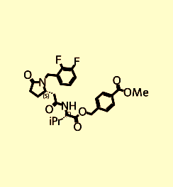 COC(=O)c1ccc(COC(=O)[C@@H](NC(=O)C[C@@H]2CCC(=O)N2Cc2cccc(F)c2F)C(C)C)cc1